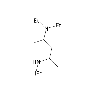 CCN(CC)C(C)CC(C)NC(C)C